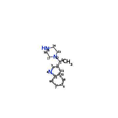 CC(c1cnc2ccccc2c1)N1CCNCC1